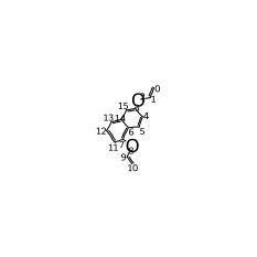 C=COc1ccc2c(OC=C)cccc2c1